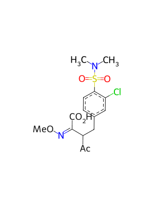 CO/N=C(\C(=O)O)C(Cc1ccc(S(=O)(=O)N(C)C)c(Cl)c1)C(C)=O